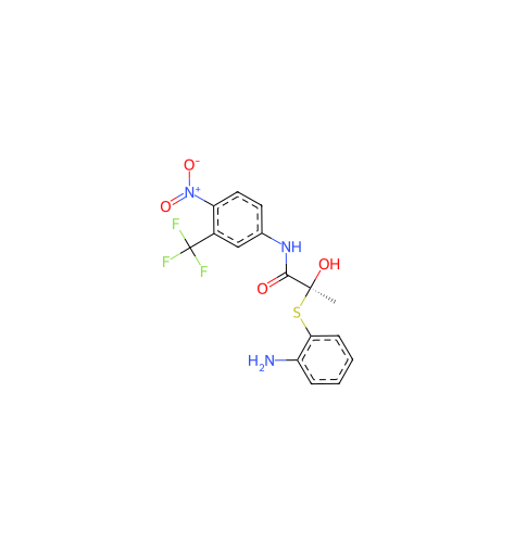 C[C@](O)(Sc1ccccc1N)C(=O)Nc1ccc([N+](=O)[O-])c(C(F)(F)F)c1